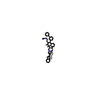 C#C/C=C\CC1=C(C)C(C)(C(C#C)/C=c2/cc(-c3cc4ccccc4o3)o/c2=C/C)C2C=CC=CC2=C1c1cccc(-c2ccccc2)c1